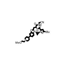 COCCN1CC=C(c2ccc3nc(CC(NC(=O)c4cc(C(C)(C)C)nn4C4CC4)C(=O)NCC#N)oc3c2)CC1